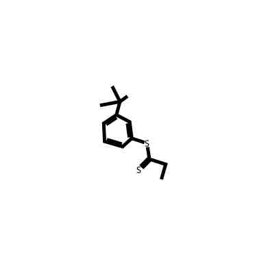 CCC(=S)Sc1cccc(C(C)(C)C)c1